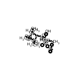 CN(CCOc1nc(NC(Cc2ccc(O)cc2)C(=O)NCCCN2CCN(C(=O)OC(C)(C)C)CCN(C(=O)OC(C)(C)C)CCN(C(=O)OC(C)(C)C)CC2)nc(N(C2CCCCC2)C2CCCCC2)n1)c1ccc(-c2nc3ccccc3s2)cc1